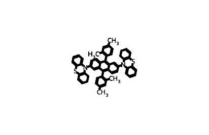 Cc1ccc(-c2c3ccc(N4C5=C(C=CCC5)Sc5ccccc54)cc3c(-c3ccc(C)cc3C)c3ccc(N4C5=C(C=CCC5)Sc5ccccc54)cc23)c(C)c1